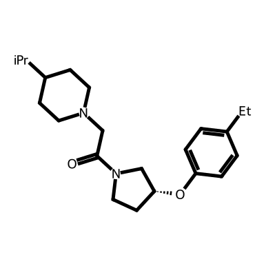 CCc1ccc(O[C@@H]2CCN(C(=O)CN3CCC(C(C)C)CC3)C2)cc1